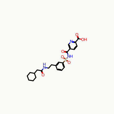 O=C(CC1CCCCC1)NCCc1cccc(S(=O)(=O)NC(=O)c2ccc(C(=O)O)nc2)c1